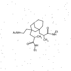 CCNC(=O)C(C)CC12CCCC(C1)CC(CCNC(C)=O)(CC(C)C(=O)NCC)C2